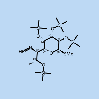 CS[C@H]1O[C@H]([C@H](N=P)[C@@H](C)O[Si](C)(C)C)[C@H](O[Si](C)(C)C)[C@H](O[Si](C)(C)C)[C@H]1O[Si](C)(C)C